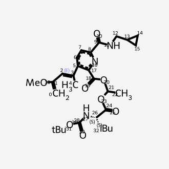 C=C(/C=C(\C)c1ccc(C(=O)NCC2CC2)nc1C(=O)OC(C)OC(=O)[C@@H](NC(=O)OC(C)(C)C)[C@@H](C)CC)OC